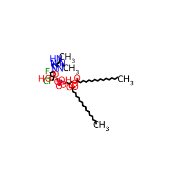 CCCCCCCCCCCCCCCC(=O)OCC(COP(=O)(O)OC[C@@]1(CCl)O[C@@H](n2cnc3c(NC)nc(C)nc32)[C@@H](F)[C@@H]1O)OC(=O)CCCCCCCCCCCCCCC